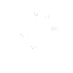 CC(C)(CN)CN.Nc1ccc(O)c(N)c1